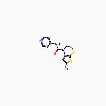 CCc1cc2c(s1)SCCN2C(=O)Nc1ccncc1